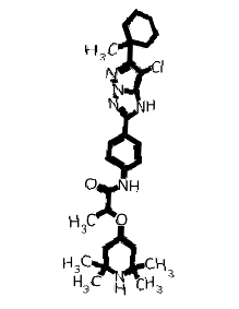 CC(OC1CC(C)(C)NC(C)(C)C1)C(=O)Nc1ccc(-c2nn3nc(C4(C)CCCCC4)c(Cl)c3[nH]2)cc1